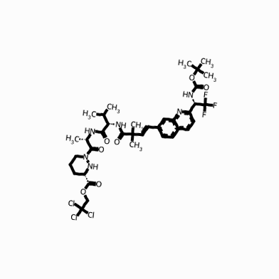 CC(C)[C@H](NC(=O)C(C)(C)/C=C/c1ccc2ccc([C@H](NC(=O)OC(C)(C)C)C(F)(F)F)nc2c1)C(=O)N[C@@H](C)C(=O)N1CCC[C@@H](C(=O)OCC(Cl)(Cl)Cl)N1